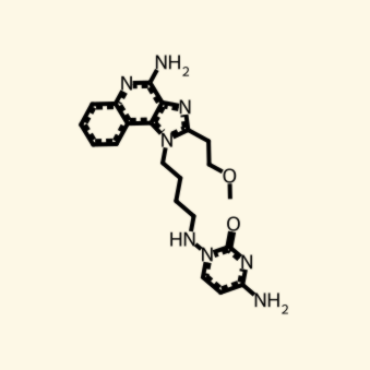 COCCc1nc2c(N)nc3ccccc3c2n1CCCCNn1ccc(N)nc1=O